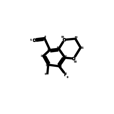 Cc1cc(C=O)c2c(c1F)OCCO2